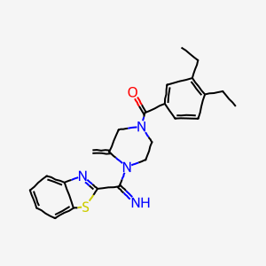 C=C1CN(C(=O)c2ccc(CC)c(CC)c2)CCN1C(=N)c1nc2ccccc2s1